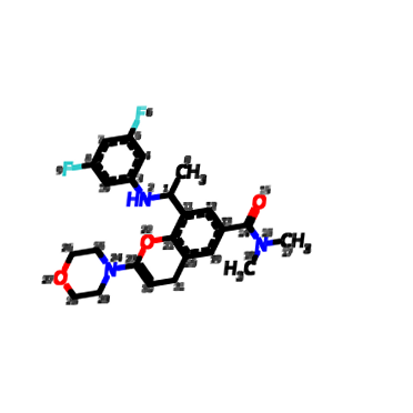 CC(Nc1cc(F)cc(F)c1)c1cc(C(=O)N(C)C)cc2c1OC(N1CCOCC1)=CC2